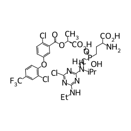 CCNc1nc(Cl)nc(NC(C)C)n1.CP(=O)(O)CCC(N)C(=O)O.C[C@H](OC(=O)c1cc(Oc2ccc(C(F)(F)F)cc2Cl)ccc1Cl)C(=O)O